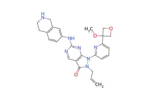 C=CCn1c(=O)c2cnc(Nc3ccc4c(c3)CNCC4)nc2n1-c1cccc(C2(OC)COC2)n1